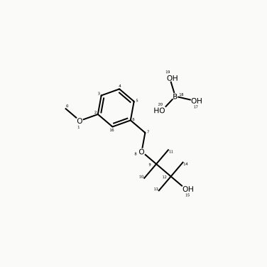 COc1cccc(COC(C)(C)C(C)(C)O)c1.OB(O)O